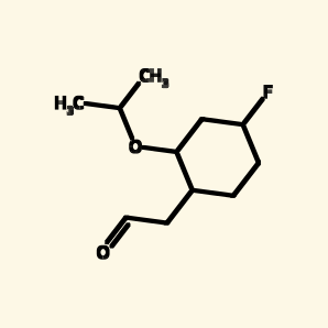 CC(C)OC1CC(F)CCC1CC=O